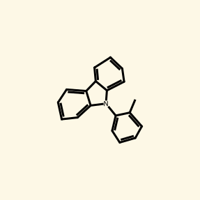 Cc1ccccc1-n1c2ccccc2c2ccccc21